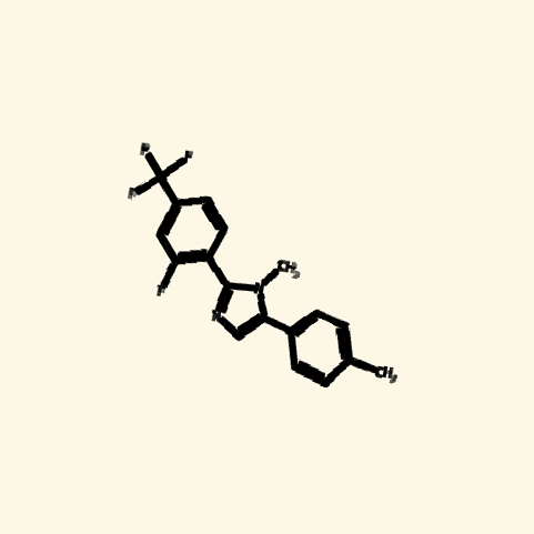 Cc1ccc(-c2cnc(-c3ccc(C(F)(F)F)cc3F)n2C)cc1